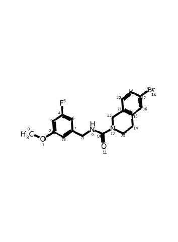 COc1cc(F)cc(CNC(=O)N2CCc3cc(Br)ccc3C2)c1